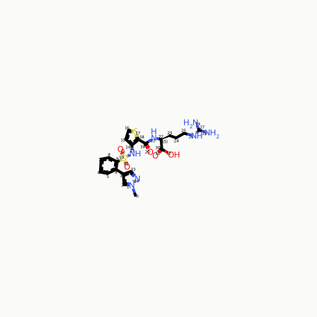 Cn1cc(-c2ccccc2S(=O)(=O)Nc2ccsc2C(=O)N[C@@H](CCCNC(N)N)C(=O)O)cn1